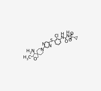 C[C@@H]1OCC2(CCN(c3cnc(Sc4cccc(NC(=O)NS(=O)(=O)C5CC5)c4Cl)cn3)CC2)[C@@H]1N